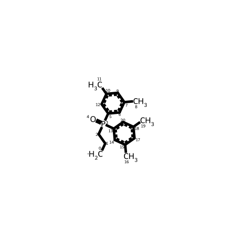 [CH2]CCP(=O)(c1cc(C)cc(C)c1)c1cc(C)cc(C)c1